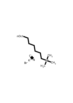 CCCCCCCCCCCCCC[N+](C)(C)C.[Br-].[C-]#N.[K+]